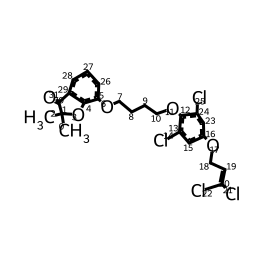 CC1(C)Oc2c(OCCCCOc3c(Cl)cc(OCC=C(Cl)Cl)cc3Cl)cccc2C1=O